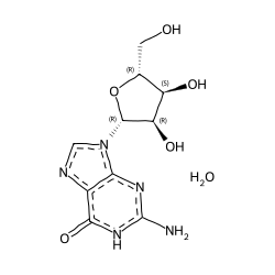 Nc1nc2c(ncn2[C@@H]2O[C@H](CO)[C@@H](O)[C@H]2O)c(=O)[nH]1.O